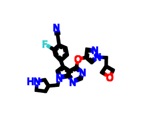 N#Cc1ccc(-c2cn(CC3CCNC3)c3ncnc(Oc4cnn(CC5COC5)c4)c23)cc1F